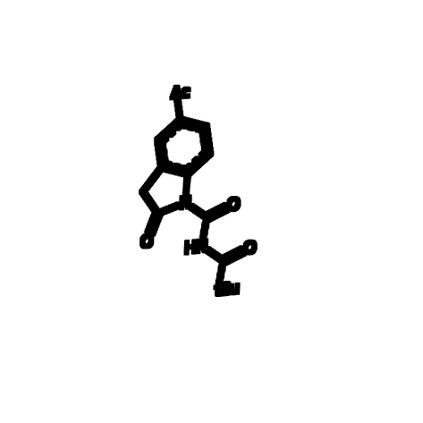 CC(=O)c1ccc2c(c1)CC(=O)N2C(=O)NC(=O)C(C)(C)C